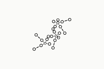 O=C1C(c2ccc(C#Cc3ccccc3)cc2)=C(c2ccc(C#Cc3ccccc3)cc2)C(c2ccc(Oc3ccc(C4=C(c5ccccc5)C(=O)C(c5ccc(C#Cc6ccccc6)cc5)=C4c4ccc(Oc5ccc(C6=C(c7ccccc7)CC(c7ccc(C#Cc8ccccc8)cc7)=C6c6ccc(C#Cc7ccccc7)cc6)cc5)cc4)cc3)cc2)=C1c1ccccc1